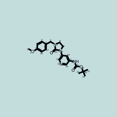 COc1ccc(CN2CCN(c3cncc(NC(=O)OC(C)(C)C)c3)C2=O)cc1